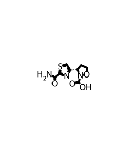 NC(=O)c1nc([C@@H]2CCON2C(=O)O)cs1